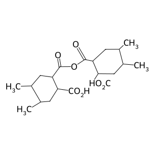 CC1CC(C(=O)O)C(C(=O)OC(=O)C2CC(C)C(C)CC2C(=O)O)CC1C